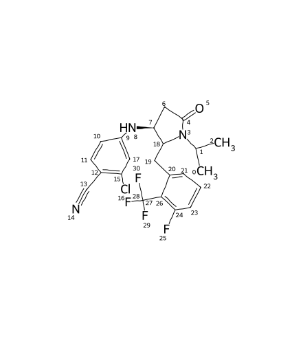 CC(C)N1C(=O)C[C@H](Nc2ccc(C#N)c(Cl)c2)C1Cc1cccc(F)c1C(F)(F)F